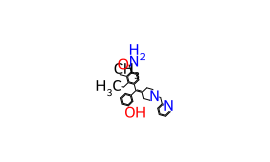 CCc1c(C(N)=O)ccc(C(=C2CCN(Cc3ccccn3)CC2)c2cccc(O)c2)c1CC